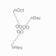 CCCCCC/C=C\CCCCCCCC(=O)O[C@@H](COC(=O)CCCCCCC/C=C\CCCCCCCC)COC(=O)CCCCCCCCCCCCCCC